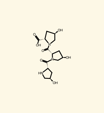 O=C(O)[C@@H]1C[C@@H](O)CN1C(=O)[C@@H]1C[C@@H](O)CN1C(=O)[C@@H]1C[C@@H](O)CN1